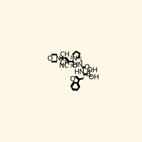 CC(C)(C=C(C#N)C(=O)N1CCC[C@@H]1CNC(=O)N[C@@H](Cc1coc2ccccc12)B(O)O)N1CCOCC1